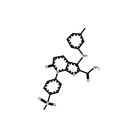 Cc1cccc(Nc2c(C(N)=O)sc3c2ccc(=O)n3-c2ccc(S(C)(=O)=O)cc2)c1